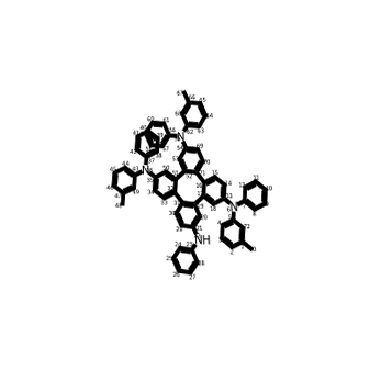 Cc1cccc(N(c2ccccc2)c2ccc3c(c2)-c2cc(Nc4ccccc4)ccc2-c2ccc(N(c4ccccc4)c4cccc(C)c4)cc2-c2cc(N(c4ccccc4)c4cccc(C)c4)ccc2-3)c1